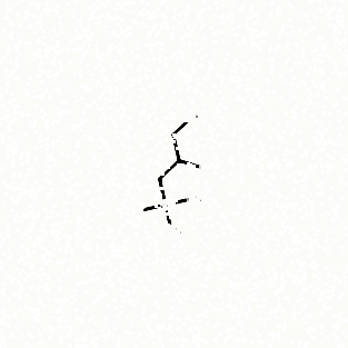 CC[N+](C#N)(C#N)CC(O)CO